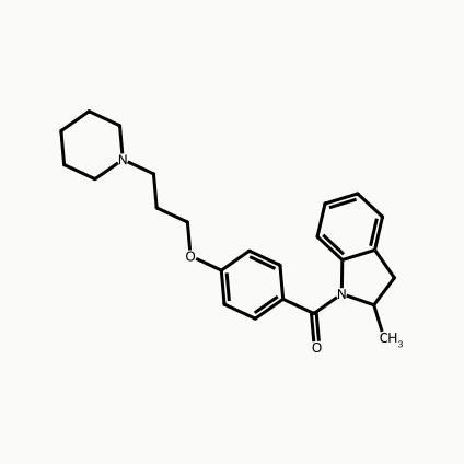 CC1Cc2ccccc2N1C(=O)c1ccc(OCCCN2CCCCC2)cc1